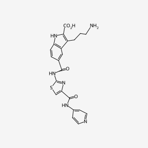 NCCCc1c(C(=O)O)[nH]c2ccc(C(=O)Nc3nc(C(=O)Nc4ccncc4)cs3)cc12